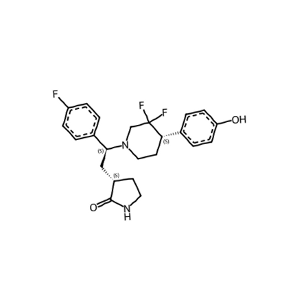 O=C1NCC[C@H]1C[C@@H](c1ccc(F)cc1)N1CC[C@@H](c2ccc(O)cc2)C(F)(F)C1